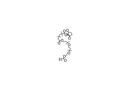 CCC(=O)OCCOC(C)(C)CCOC(C)(C)CCOC(=O)CC(C)(C)CC(C)(C)C(=O)ON1C(=O)CCC1=O